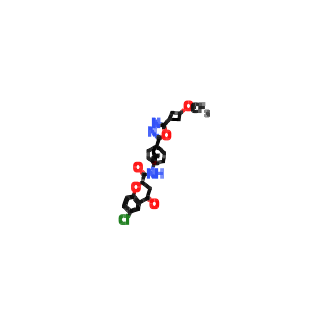 O=C1C[C@H](C(=O)NC23CCC(c4nnc(C5CC(OC(F)(F)F)C5)o4)(CC2)CC3)Oc2ccc(Cl)cc21